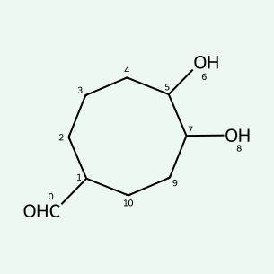 O=CC1CCCC(O)C(O)CC1